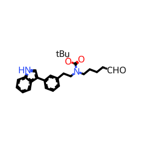 CC(C)(C)OC(=O)N(CCCCC=O)CCc1cccc(-c2c[nH]c3ccccc23)c1